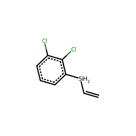 C=C[SiH2]c1cccc(Cl)c1Cl